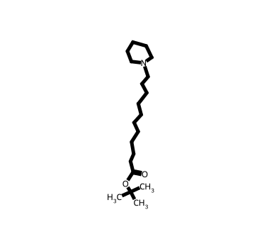 CC(C)(C)OC(=O)CCCCCCCCCCN1CCCCC1